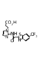 O=C(O)CCn1ccnc1NC(=O)c1nc2ccc(C(F)(F)F)cc2s1